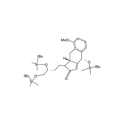 COc1cccc2c1C[C@@H]1C(=CC(=O)C1CC[C@H](CO[Si](C)(C)C(C)(C)C)O[Si](C)(C)C(C)(C)C)[C@H]2O[Si](C)(C)C(C)(C)C